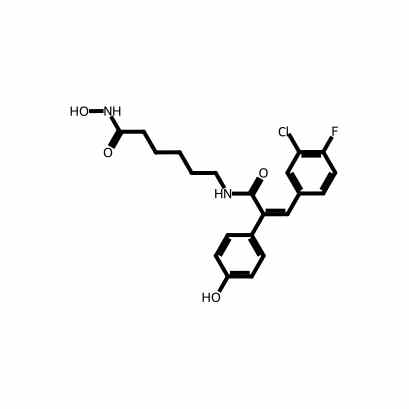 O=C(CCCCCNC(=O)C(=Cc1ccc(F)c(Cl)c1)c1ccc(O)cc1)NO